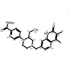 CNC(=O)c1ccc(N2CCN(Cc3cnc4c(C)c(C)c(=O)[nH]c4c3)CC2CC#N)cn1